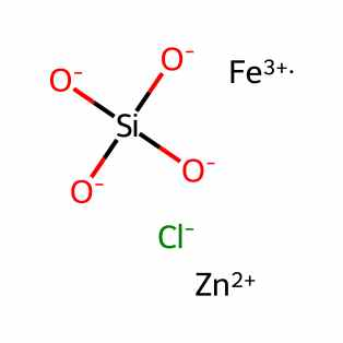 [Cl-].[Fe+3].[O-][Si]([O-])([O-])[O-].[Zn+2]